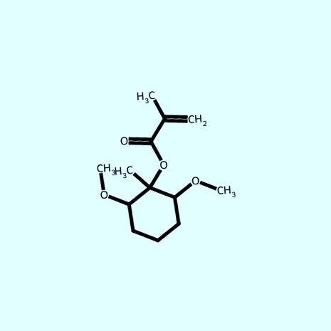 C=C(C)C(=O)OC1(C)C(OC)CCCC1OC